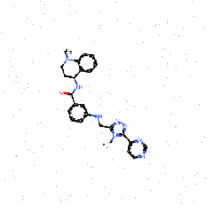 CN1CC[C@H](NC(=O)c2cccc(NCc3nnc(-c4ccncn4)n3C)c2)c2ccccc21